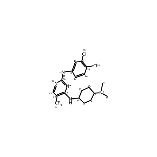 CN(C)C1CCC(Nc2nc(Nc3ccc(Cl)c(Cl)c3)ncc2C(F)(F)F)CC1